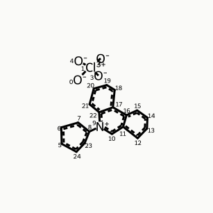 [O-][Cl+3]([O-])([O-])[O-].c1ccc(-[n+]2cc3ccccc3c3ccccc32)cc1